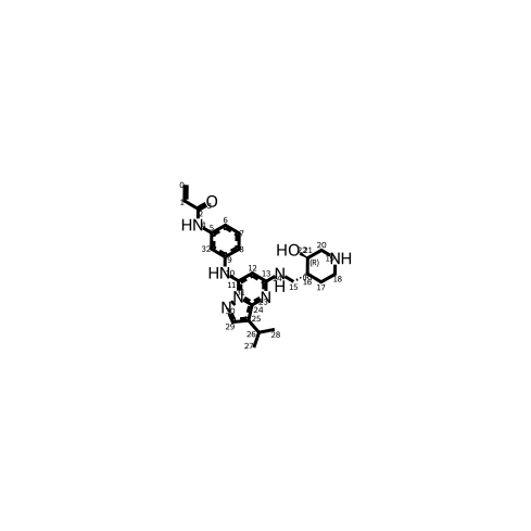 C=CC(=O)Nc1cccc(Nc2cc(NC[C@H]3CCNC[C@@H]3O)nc3c(C(C)C)cnn23)c1